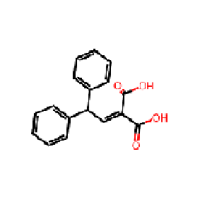 O=C(O)C(=CC(c1ccccc1)c1ccccc1)C(=O)O